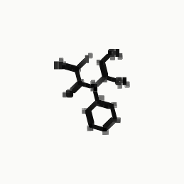 C/C=C(\C)N(C(=O)C(=N)I)c1ccccc1